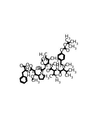 CC[C@H](C)[C@@H]([C@@H](CC(=O)N1CCCC1[C@H](OC)[C@@H](C)C(=O)NC(Cc1ccccc1)C(=O)O)OC)N(C)C(=O)C(NC(=O)C(C(C)C)N(C)Cc1ccc(OC(=O)OC(C)(C)C)cc1)C(C)C